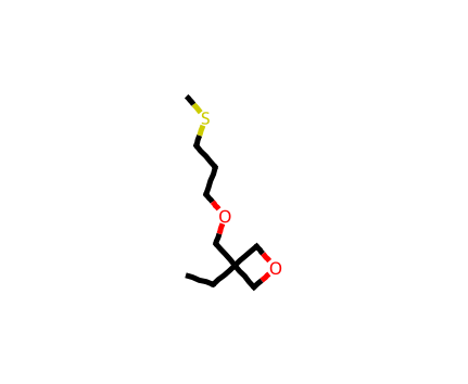 CCC1(COCCCSC)COC1